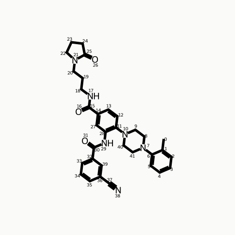 Cc1ccccc1N1CCN(c2ccc(C(=O)NCCCN3CCCC3=O)cc2NC(=O)c2cccc(C#N)c2)CC1